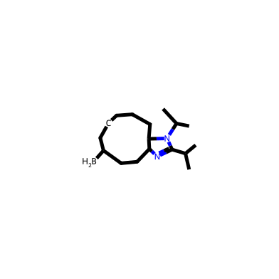 BC1CCCCCC2C(CC1)N=C(C(C)C)N2C(C)C